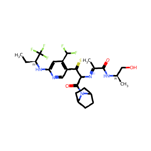 CC[C@H](Nc1cc(C(F)F)c(C(=S)C(/N=C(\C)C(=O)N[C@H](C)CO)C(=O)N2C3CCC2CC3)cn1)C(F)(F)F